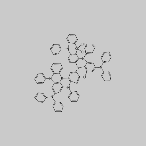 C[Si]1(C)c2ccccc2N(c2ccccc2)c2ccc3c(c21)N(c1ccccc1)c1cc(N(c2ccccc2)c2ccccc2)cc2c1B3c1cc3c(cc1O2)N(c1ccccc1)c1cc(N(c2ccccc2)c2ccccc2)cc2c1B3c1ccccc1N2c1ccccc1